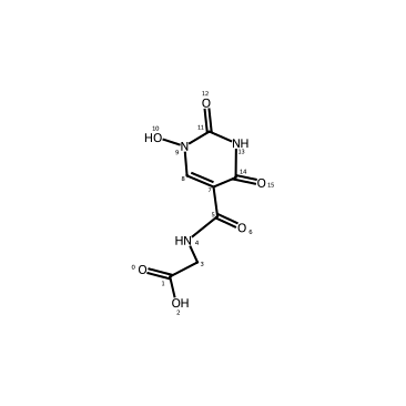 O=C(O)CNC(=O)c1cn(O)c(=O)[nH]c1=O